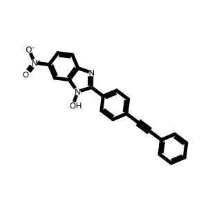 O=[N+]([O-])c1ccc2nc(-c3ccc(C#Cc4ccccc4)cc3)n(O)c2c1